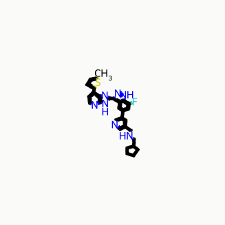 Cc1ccc(-c2ccnc3[nH]c(-c4n[nH]c5c(F)cc(-c6cncc(CNCC7CCCC7)c6)cc45)nc23)s1